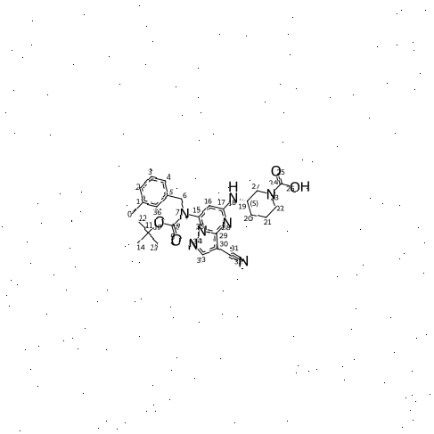 Cc1cccc(CN(C(=O)OC(C)(C)C)c2cc(N[C@H]3CCCN(C(=O)O)C3)nc3c(C#N)cnn23)c1